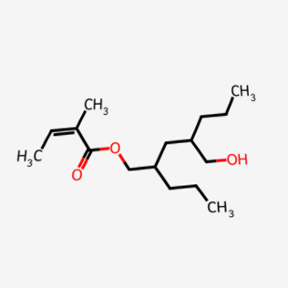 CC=C(C)C(=O)OCC(CCC)CC(CO)CCC